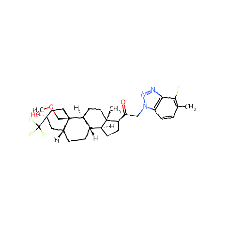 COC[C@]12CC[C@](O)(C(F)(F)F)C[C@H]1CC[C@H]1[C@@H]3CC[C@H](C(=O)Cn4nnc5c(F)c(C)ccc54)[C@@]3(C)CC[C@@H]12